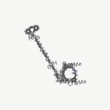 COc1cc2cc(c1Cl)N(C)C(=O)C[C@H](OC(=O)[C@H](C)N(C)C(=O)CC(C)(C)SSCCCC(=O)NCCOCCOCCOCCOCCCC(=O)NCC(=O)N1Cc3ccccc3C#Cc3ccccc31)[C@]1(C)O[C@H]1[C@H](C)[C@@H]1C[C@@](O)(NC(=O)O1)[C@H](OC)/C=C/C=C(\C)C2